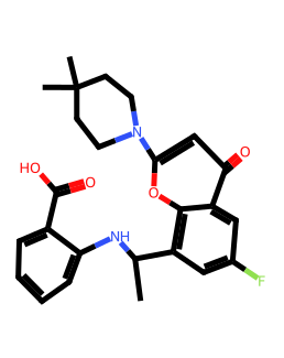 CC(Nc1ccccc1C(=O)O)c1cc(F)cc2c(=O)cc(N3CCC(C)(C)CC3)oc12